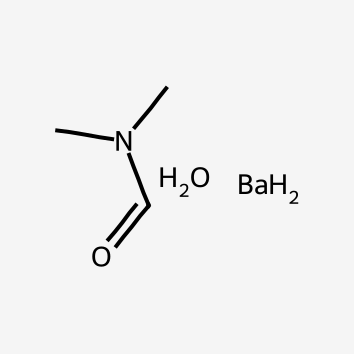 CN(C)C=O.O.[BaH2]